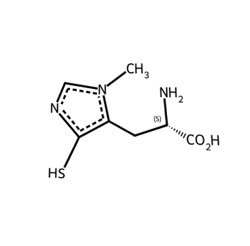 Cn1cnc(S)c1C[C@H](N)C(=O)O